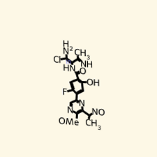 COc1ncc(-c2cc(O)c(C(=O)N/C(C(C)=N)=C(/N)Cl)cc2F)nc1C(C)N=O